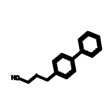 OC[CH]Cc1ccc(-c2ccccc2)cc1